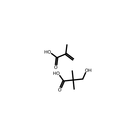 C=C(C)C(=O)O.CC(C)(CO)C(=O)O